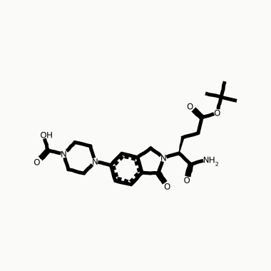 CC(C)(C)OC(=O)CC[C@@H](C(N)=O)N1Cc2cc(N3CCN(C(=O)O)CC3)ccc2C1=O